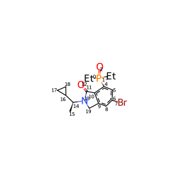 CCP(=O)(CC)c1cc(Br)cc2c1C(=O)N([C@@H](C)C1CC1)C2